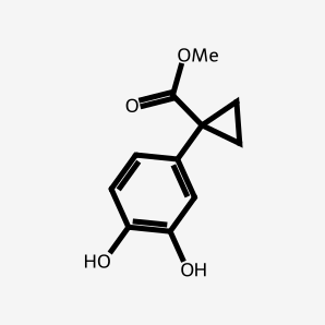 COC(=O)C1(c2ccc(O)c(O)c2)CC1